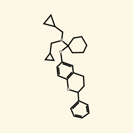 c1ccc(C2CCc3cc(OC4(N(CC5CC5)CC5CC5)CCCCC4)ccc3O2)cc1